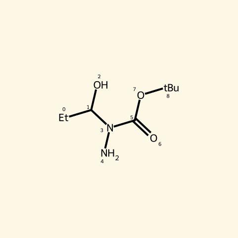 CCC(O)N(N)C(=O)OC(C)(C)C